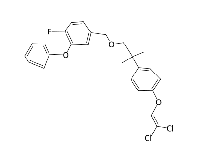 CC(C)(COCc1ccc(F)c(Oc2ccccc2)c1)c1ccc(OC=C(Cl)Cl)cc1